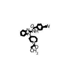 C=CC(=O)N1CCC[C@@H](n2c(NC(=O)c3ccc(C#N)cc3)nc3ccccc32)CC1